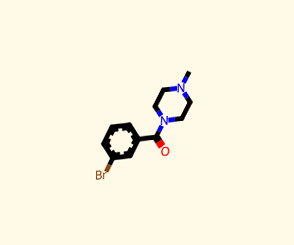 CN1CCN(C(=O)c2cccc(Br)c2)CC1